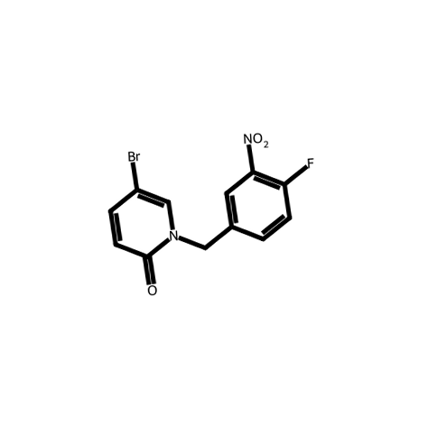 O=c1ccc(Br)cn1Cc1ccc(F)c([N+](=O)[O-])c1